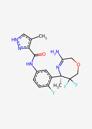 Cc1c[nH]nc1C(=O)Nc1ccc(F)c([C@@]2(C)N=C(N)COCC2(F)F)c1